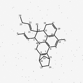 CC=CC1N2CC3=C(c4cc(C)c5c(c42)C(CC=C5)C1(C)C=CCC)C1CCC3C1